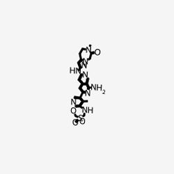 Cc1c(-c2cc3cc(Nc4cc5n(n4)CC(=O)N(C)CC5)ncc3c(N)n2)cnc2c1NCS(=O)(=O)CO2